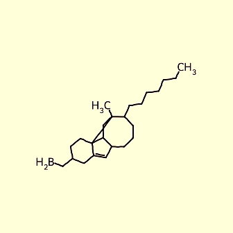 BCC1CCC23C(=CC4CCCC(CCCCCCC)C2(C)CC43)C1